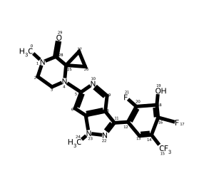 CN1CCN(c2cc3c(cn2)c(-c2cc(C(F)(F)F)c(F)c(O)c2F)nn3C)C2(CC2)C1=O